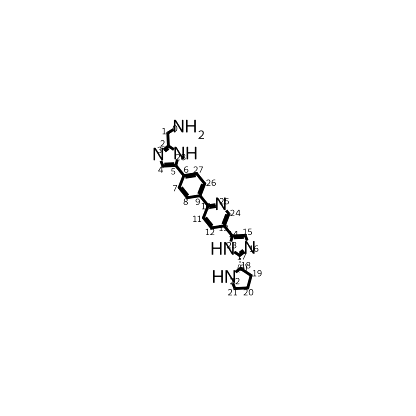 NCc1ncc(-c2ccc(-c3ccc(-c4cnc([C@@H]5CCCN5)[nH]4)cn3)cc2)[nH]1